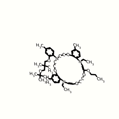 CCCO/C1=C/N(CC)c2ccc(C)cc2OCCN(c2ccc(C)cc2OCC(C)(C)COC(C)(C)C)CCOc2cc(C)ccc2N(CC)/C=C\OCCO1